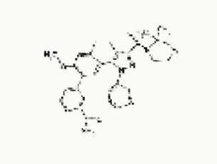 COc1cc2c(cc1-c1cncc(C(N)=O)c1)-c1c(c(C(=O)N3CCOCC3(C)C)nn1-c1cncnc1)CC2